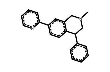 CN1Cc2cc(-c3ccccn3)ccc2C(c2ccccc2)C1